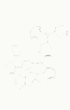 c1ccc(-c2ccc(N(c3ccc4c(c3)c3ccccc3n4-c3ccccc3)c3cccc4sc5cc6ccccc6cc5c34)cc2-c2ccccc2)cc1